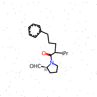 CC(C)C(CCCc1ccccc1)C(=O)N1CCC[C@H]1C=O